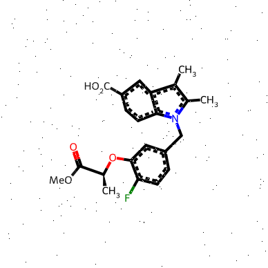 COC(=O)[C@H](C)Oc1cc(Cn2c(C)c(C)c3cc(C(=O)O)ccc32)ccc1F